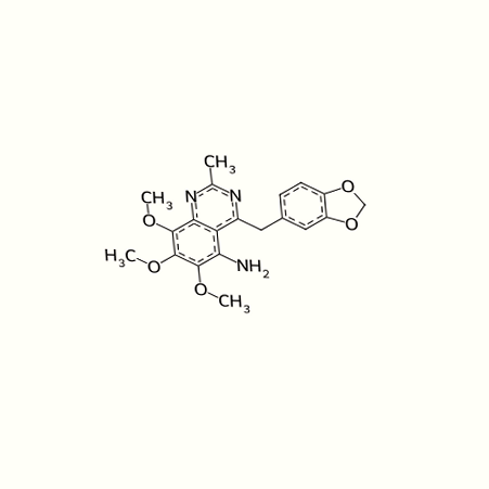 COc1c(OC)c(N)c2c(Cc3ccc4c(c3)OCO4)nc(C)nc2c1OC